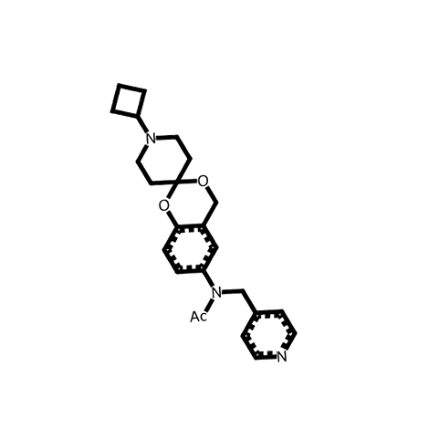 CC(=O)N(Cc1ccncc1)c1ccc2c(c1)COC1(CCN(C3CCC3)CC1)O2